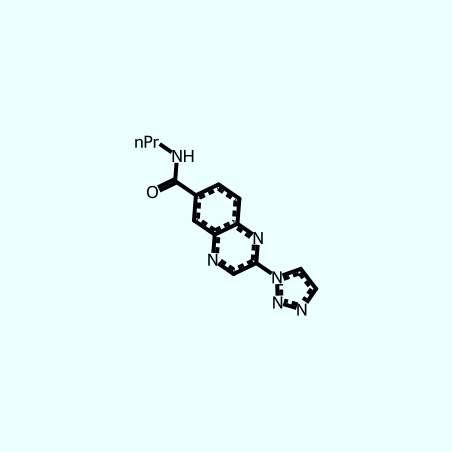 CCCNC(=O)c1ccc2nc(-n3ccnn3)cnc2c1